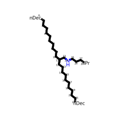 CCCCCCCCCCCCCCCCCCCCC(CCCCCCCCCCCCCCCCCCCC)CNCCCC(C)C